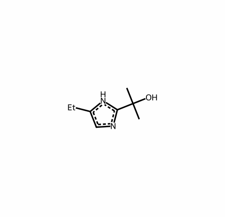 CCc1cnc(C(C)(C)O)[nH]1